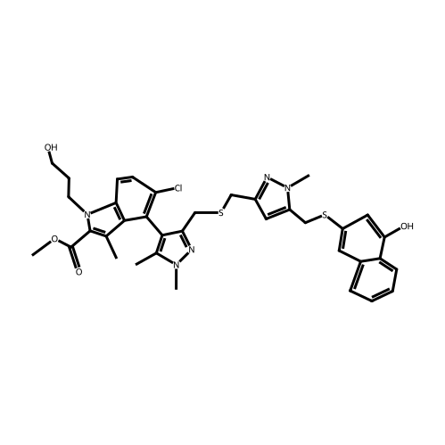 COC(=O)c1c(C)c2c(-c3c(CSCc4cc(CSc5cc(O)c6ccccc6c5)n(C)n4)nn(C)c3C)c(Cl)ccc2n1CCCO